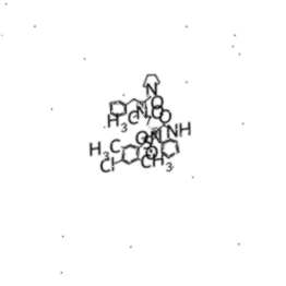 Cc1cc(S(=O)(=O)N2c3ccccc3NC(=O)[C@H]2CC(=O)N(C)[C@@H](Cc2ccccc2)C(=O)N2CCCC2)c(C)cc1Cl